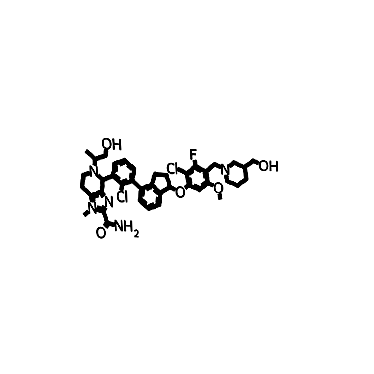 COc1cc(OC2CCc3c(-c4cccc(C5c6nc(C(N)=O)n(C)c6CCN5C(C)CO)c4Cl)cccc32)c(Cl)c(F)c1CN1CCCC(CO)C1